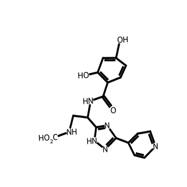 O=C(O)NCC(NC(=O)c1ccc(O)cc1O)c1nc(-c2ccncc2)n[nH]1